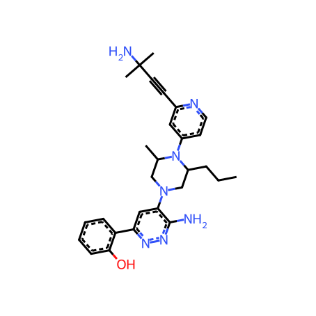 CCCC1CN(c2cc(-c3ccccc3O)nnc2N)CC(C)N1c1ccnc(C#CC(C)(C)N)c1